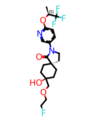 C[C@H](Oc1ccc(N2CC[C@]3(CC[C@@](O)(COCCF)CC3)C2=O)cn1)C(F)(F)F